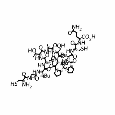 CC[C@H](NC(=O)[C@@H](NC(=O)CNC(=O)[C@@H](N)CS)[C@@H](C)CC)C(=O)N[C@H](C(=O)N[C@@H](C)C(=O)N[C@@H](CO)C(=O)N[C@H](C(=O)N1CCC[C@H]1C(=O)N1CCC[C@H]1C(=O)N[C@H](C(=O)N[C@@H](CS)C(=O)N[C@@H](CCC(N)=O)C(=O)O)[C@@H](C)CC)[C@@H](C)CC)[C@@H](C)O